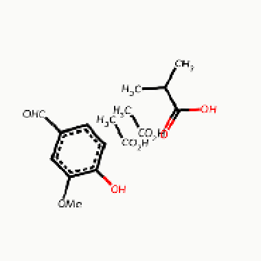 CC(=O)O.CC(=O)O.CC(C)C(=O)O.COc1cc(C=O)ccc1O